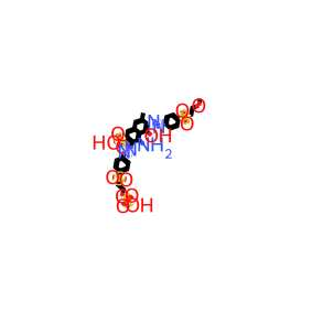 COCCS(=O)(=O)c1ccc(/N=N/c2c(C)cc3cc(S(=O)(=O)O)c(/N=N/c4ccc(S(=O)(=O)CCOS(=O)(=O)O)cc4)c(N)c3c2O)cc1